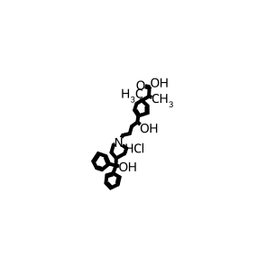 CC(C(=O)O)C1(C)C=CC(C(O)CCCN2CCC(C(O)(c3ccccc3)c3ccccc3)CC2)=CC1.Cl